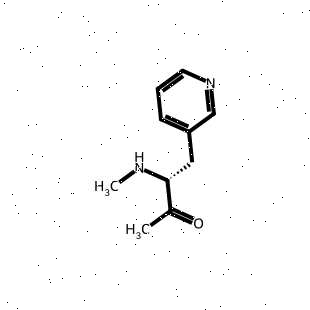 CN[C@H](Cc1cccnc1)C(C)=O